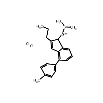 CCCC1=Cc2c(-c3ccc(C)cc3)cccc2[CH]1[Zr+2][Si](C)C.[Cl-].[Cl-]